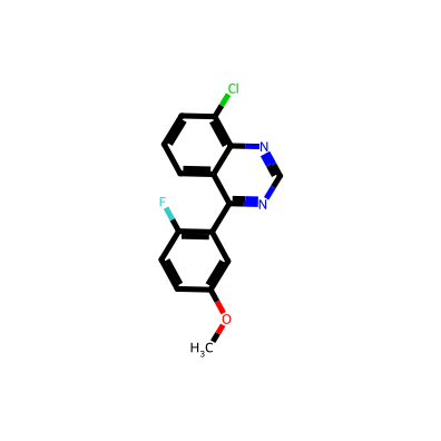 COc1ccc(F)c(-c2ncnc3c(Cl)cccc23)c1